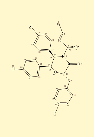 CCC=C[C@@H](CCC)N1C(=O)[C@H](Cc2ccc(F)cc2)O[C@@H](c2ccc(Cl)cc2)[C@H]1c1ccc(Cl)cc1